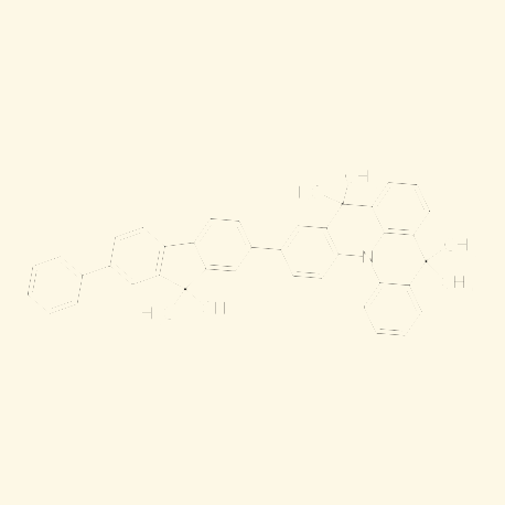 CC1(C)c2cc(-c3ccccc3)ccc2-c2ccc(-c3ccc4c(c3)C(C)(C)c3cccc5c3N4c3ccccc3C5(C)C)cc21